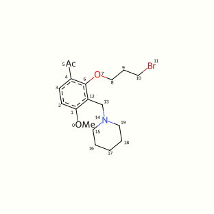 COc1ccc(C(C)=O)c(OCCCBr)c1CN1CCCCC1